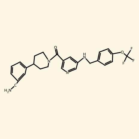 NCc1cccc(C2CCN(C(=O)c3cncc(NCc4ccc(OC(F)(F)F)cc4)c3)CC2)c1